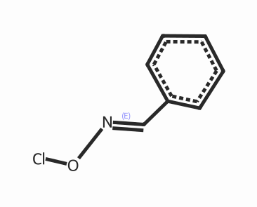 ClO/N=C/c1ccccc1